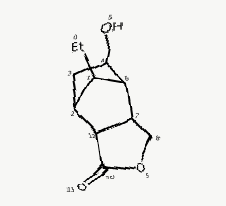 CCC1C2CC(O)C1C1COC(=O)C21